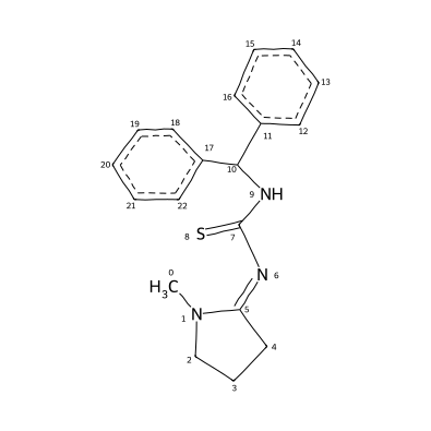 CN1CCCC1=NC(=S)NC(c1ccccc1)c1ccccc1